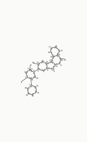 Cc1c[n+](C)c(-c2cc3oc4cc(C)c5ccccc5c4c3cc2C)cc1-c1ccccc1